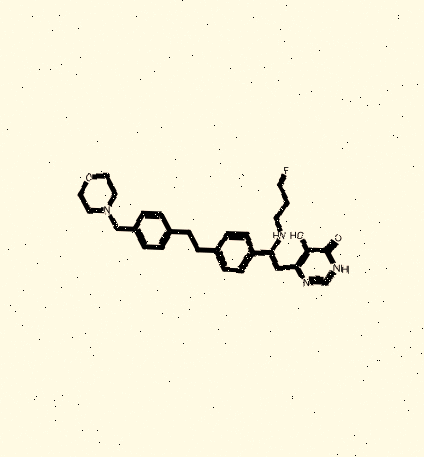 O=c1[nH]cnc(CC(NCCCF)c2ccc(CCc3ccc(CN4CCOCC4)cc3)cc2)c1O